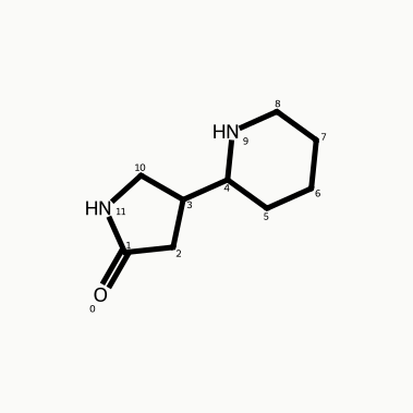 O=C1CC(C2CCCCN2)CN1